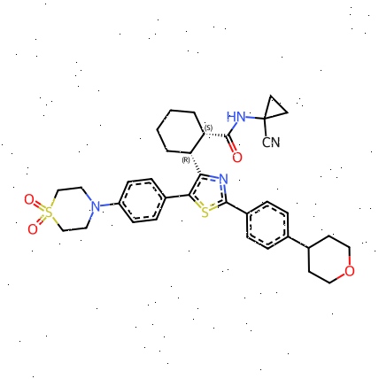 N#CC1(NC(=O)[C@H]2CCCC[C@H]2c2nc(-c3ccc(C4CCOCC4)cc3)sc2-c2ccc(N3CCS(=O)(=O)CC3)cc2)CC1